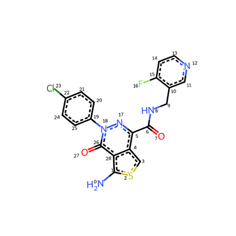 Nc1scc2c(C(=O)NCc3cnccc3F)nn(-c3ccc(Cl)cc3)c(=O)c12